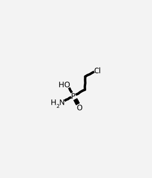 NP(=O)(O)CCCl